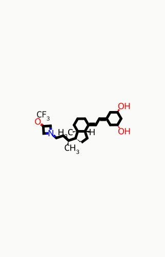 C[C@H](CCN1CC(OC(F)(F)F)C1)[C@H]1CC[C@H]2/C(=C/C=C3C[C@@H](O)C[C@H](O)C3)CCC[C@]12C